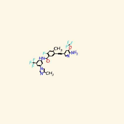 Cc1cn(-c2cc(NC(=O)c3cc(C#Cc4cnc(N)c(OC(F)(F)F)c4)c(C)cc3F)cc(C(F)(F)F)c2)cn1